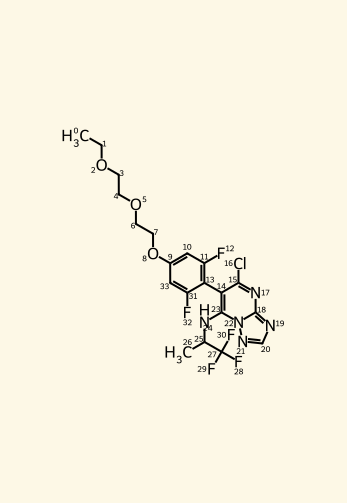 CCOCCOCCOc1cc(F)c(-c2c(Cl)nc3ncnn3c2NC(C)C(F)(F)F)c(F)c1